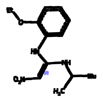 CCOc1ccccc1N/C(=C\[N+](=O)[O-])NC(C)C(C)(C)C